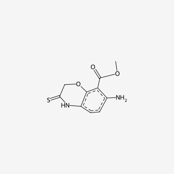 COC(=O)c1c(N)ccc2c1OCC(=S)N2